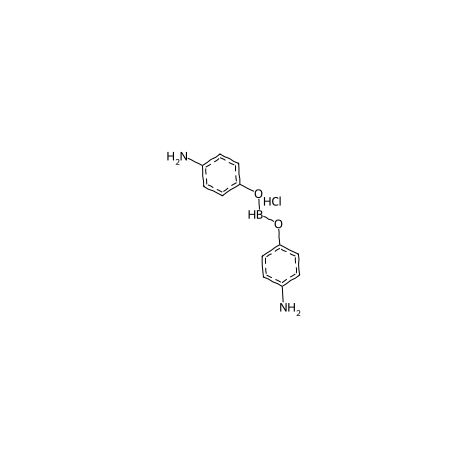 Cl.Nc1ccc(OBOc2ccc(N)cc2)cc1